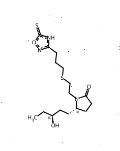 CC[C@H](O)CC[C@H]1CCC(=O)N1CCSCCCc1noc(=S)[nH]1